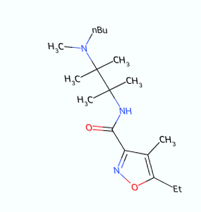 CCCCN(C)C(C)(C)C(C)(C)NC(=O)c1noc(CC)c1C